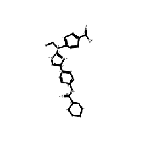 CCN(c1ccc(C(=O)O)cc1)c1nc(-c2ccc(NC(=O)C3CCCCC3)cc2)cs1